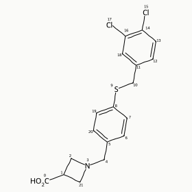 O=C(O)C1CN(Cc2ccc(SCc3ccc(Cl)c(Cl)c3)cc2)C1